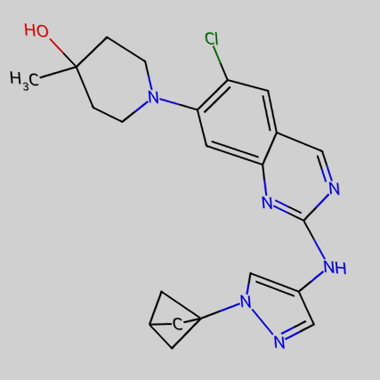 CC1(O)CCN(c2cc3nc(Nc4cnn(C56CC(C5)C6)c4)ncc3cc2Cl)CC1